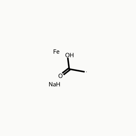 [CH2]C(=O)O.[Fe].[NaH]